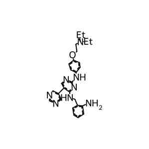 CCN(CC)CCOc1ccc(Nc2ncc(-c3cncnc3)c(NCc3ccccc3N)n2)cc1